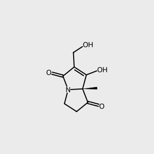 C[C@@]12C(=O)CCN1C(=O)C(CO)=C2O